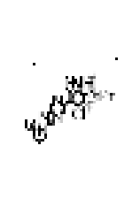 CC(C)Nc1c(F)c(Cl)c(-c2cn3cc(N4CC=CC4=O)nc3cn2)c2cn[nH]c12